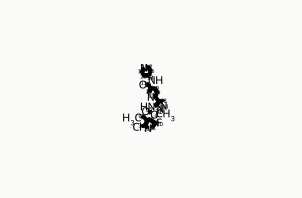 C[C@@H](OC(=O)Nc1c(-c2ccc(C(=O)Nc3ccncc3)cn2)cnn1C)c1cc(F)cnc1Cl